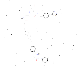 Cc1ncsc1-c1ccc(CNC(=O)[C@@H]2C[C@@H](O)CN2C(=O)[C@@H](NC(=O)COCC2CC3(C2)CC(COc2ccc(N4C(=S)N(c5ccc(C#N)c(Cl)c5)C(=O)C4(C)C)cc2)C3)C(C)(C)C)cc1